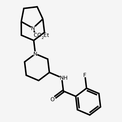 CCOC(=O)N1C2CCC1CC(N1CCCC(NC(=O)c3ccccc3F)C1)C2